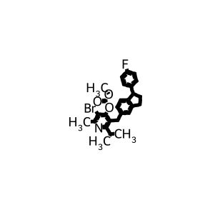 COC(=O)Oc1c(Br)c(C)nc(C(C)C)c1Cc1ccc2c(c1)CCC2c1ccc(F)cc1